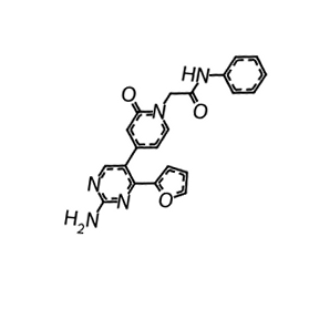 Nc1ncc(-c2ccn(CC(=O)Nc3ccccc3)c(=O)c2)c(-c2ccco2)n1